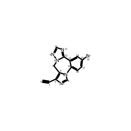 C#Cc1ncn2c1Cn1ncnc1-c1cc(Br)ccc1-2